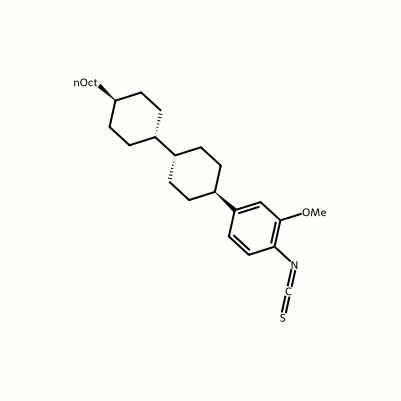 CCCCCCCC[C@H]1CC[C@H]([C@H]2CC[C@H](c3ccc(N=C=S)c(OC)c3)CC2)CC1